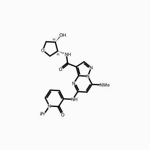 CNc1cc(Nc2cccn(C(C)C)c2=O)nc2c(C(=O)N[C@@H]3COC[C@@H]3O)cnn12